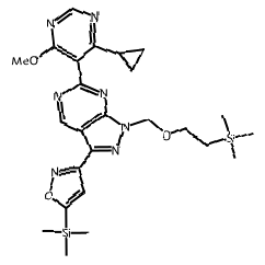 COc1ncnc(C2CC2)c1-c1ncc2c(-c3cc([Si](C)(C)C)on3)nn(COCC[Si](C)(C)C)c2n1